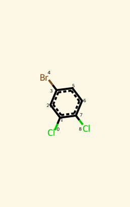 Clc1[c]c(Br)ccc1Cl